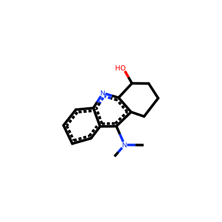 CN(C)c1c2c(nc3ccccc13)C(O)CCC2